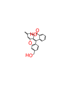 C=c1ccc2c(c1)Oc1cc(CO)ccc1C=2c1ccccc1C(=O)O